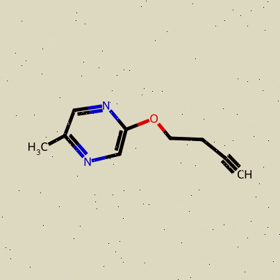 C#CCCOc1cnc(C)cn1